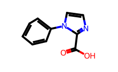 O=C(O)c1nccn1-c1ccccc1